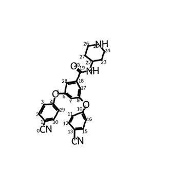 N#Cc1ccc(Oc2cc(Oc3ccc(C#N)cc3)cc(C(=O)NC3CCNCC3)c2)cc1